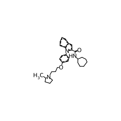 CC1CCCN1CCCOc1ccc(-n2c(C(=O)NC3CCCCCC3)cc3ccccc32)cc1